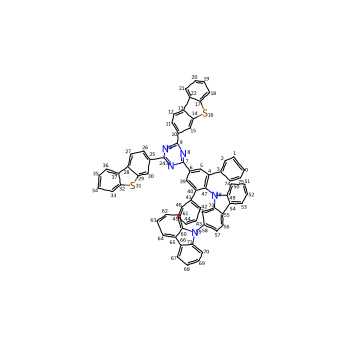 c1ccc(-c2cc(-c3nc(-c4ccc5c(c4)sc4ccccc45)nc(-c4ccc5c(c4)sc4ccccc45)n3)cc(-c3ccccc3)c2-n2c3ccccc3c3ccc(-n4c5ccccc5c5ccccc54)cc32)cc1